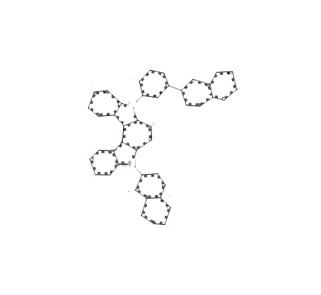 c1cc(-c2ccc3ccccc3c2)cc(-n2c3ccccc3c3c4c5ccccc5n(-c5ccc6ccccc6c5)c4ccc32)c1